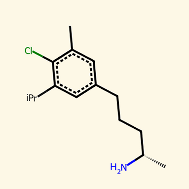 Cc1cc(CCC[C@H](C)N)cc(C(C)C)c1Cl